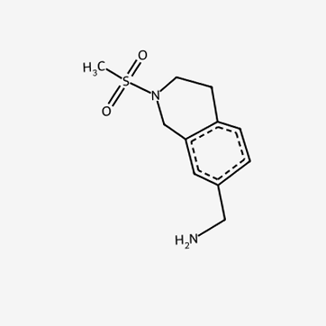 CS(=O)(=O)N1CCc2ccc(CN)cc2C1